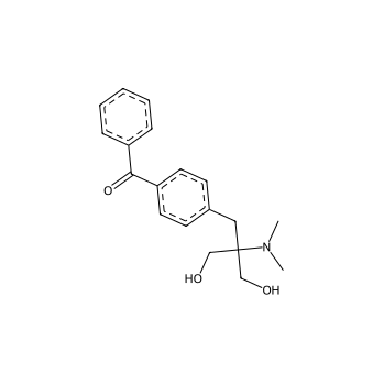 CN(C)C(CO)(CO)Cc1ccc(C(=O)c2ccccc2)cc1